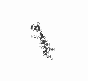 Nc1nc(C(=NO)C(=O)NC2C(=O)N3CC(C=CSc4cc(=O)c5nccnc5s4)(C(=O)O)CS[C@H]23)cs1